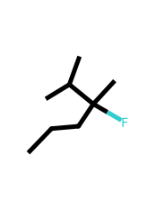 CCCC(C)(F)C(C)C